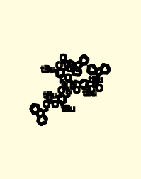 CC(C)(C)c1cc(Cn2c(=O)n(Cc3cc(C(C)(C)C)c(OC(=O)OCC4c5ccccc5-c5ccccc54)c(C(C)(C)C)c3)c(=O)n(Cc3cc(C(C)(C)C)c(OC(=O)OCC4c5ccccc5-c5ccccc54)c(C(C)(C)C)c3)c2=O)cc(C(C)(C)C)c1OC(=O)OCC1c2ccccc2-c2ccccc21